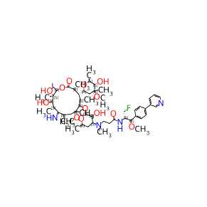 CO[C@H](c1ccc(-c2cccnc2)cc1)[C@@H](CF)NC(=O)CCN(C)[C@H]1C[C@@H](C)O[C@@H](O[C@@H]2[C@@H](C)C([C@H]3C[C@@](C)(OC)[C@@H](O)[C@H](C)O3)[C@@H](C)C(=O)O[C@H](I)[C@@](C)(O)[C@H](O)[C@@H](C)C(=N)[C@H](C)C[C@@]2(C)OC)[C@@H]1O